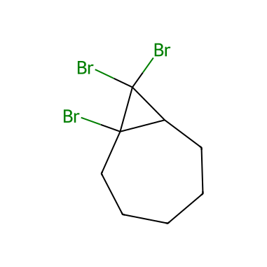 BrC1(Br)C2CCCCCC21Br